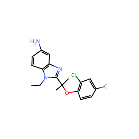 CCn1c(C(C)(C)Oc2ccc(Cl)cc2Cl)nc2cc(N)ccc21